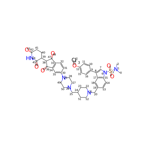 CN(C)S(=O)(=O)n1cc(-c2ccc(OC(F)(F)F)cc2)c2cc(CN3CCC(CN4CCN(c5ccc6c(c5)C(=O)C(C5CCC(=O)NC5=O)C6=O)CC4)CC3)ccc21